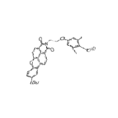 Cc1cc(OCCn2c(=O)c3ccc4oc5ccc(C(C)(C)C)cc5c5ccc(c2=O)c3c45)cc(C)c1C=O